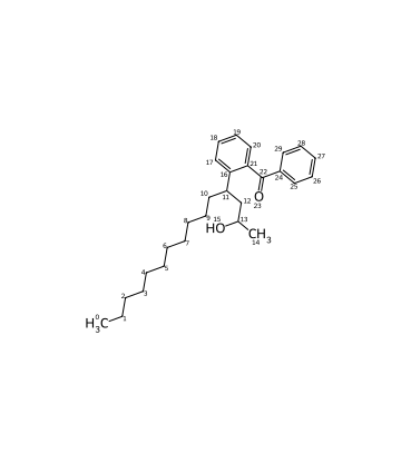 CCCCCCCCCCCC(CC(C)O)c1ccccc1C(=O)c1ccccc1